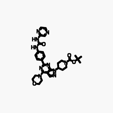 CC(C)(C)OC(=O)N1CCC(n2ncc3c(N4CCOCC4)nc(-c4ccc(NC(=O)Nc5cnccn5)cc4)nc32)CC1